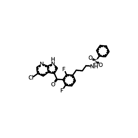 O=C(c1c(F)ccc(CCCNS(=O)(=O)c2ccccc2)c1F)c1c[nH]c2ncc(Cl)cc12